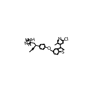 CC#CC(Cc1nnn[nH]1)c1ccc(OCc2ccc3scc(-c4cc(Cl)ncc4C)c3c2)cc1